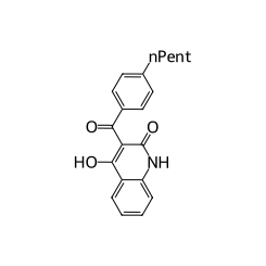 CCCCCc1ccc(C(=O)c2c(O)c3ccccc3[nH]c2=O)cc1